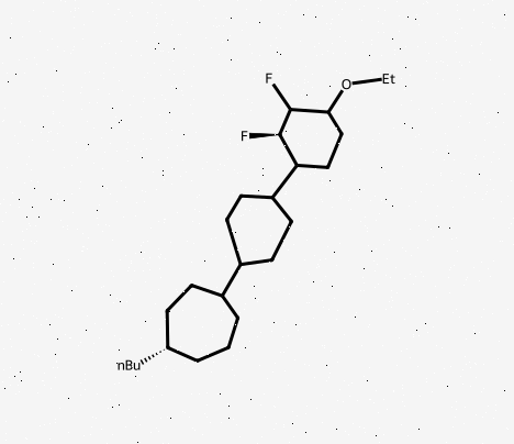 CCCC[C@H]1CCCC(C2CCC(C3CCC(OCC)C(F)[C@@H]3F)CC2)CC1